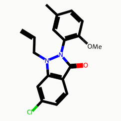 C=CCn1c2cc(Cl)ccc2c(=O)n1-c1cc(C)ccc1OC